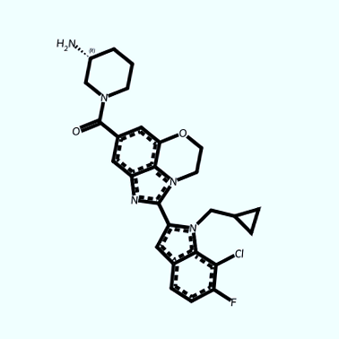 N[C@@H]1CCCN(C(=O)c2cc3c4c(c2)nc(-c2cc5ccc(F)c(Cl)c5n2CC2CC2)n4CCO3)C1